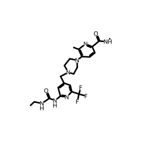 CCNC(=O)Nc1cc(CN2CCN(c3ccc(C(=O)NC)nc3C)CC2)cc(C(F)(F)F)n1